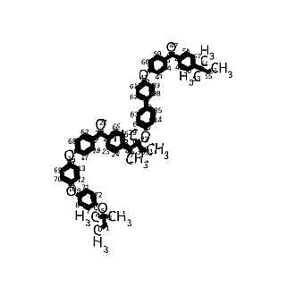 CCC(C)(C)Oc1ccc(Oc2ccc(Oc3ccc(C(=O)c4ccc(C(C)[C@@](C)(CC)Oc5ccc(-c6ccc(Oc7ccc(C(=O)c8ccc(C(C)(C)CC)cc8)cc7)cc6)cc5)cc4)cc3)cc2)cc1